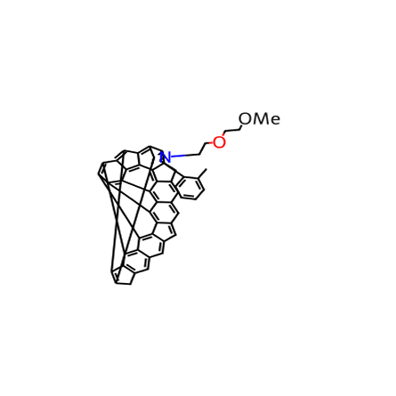 COCCOCCN1CC2C3=c4c5c6c7c(cc8cc9cc%10cc%11cc%12c%13c(c4c4c5c5c7c8c7c9c%10c8c%11c%13c4c8c75)=C(C3)C%12)CC62C1c1ccccc1C